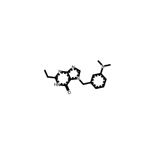 CCc1nc2ncn(Cc3cccc(N(C)C)c3)c2c(=O)[nH]1